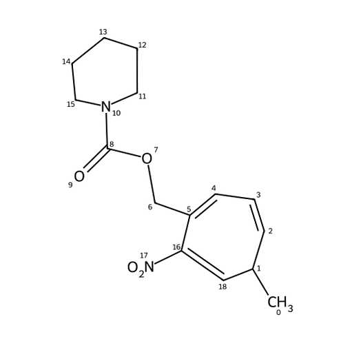 CC1C=CC=C(COC(=O)N2CCCCC2)C([N+](=O)[O-])=C1